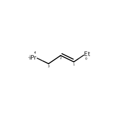 CCC=CC[C](C)C